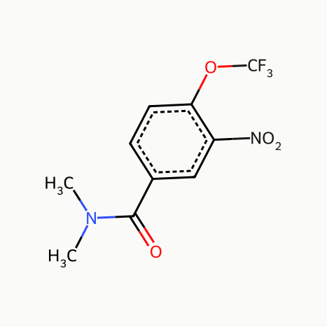 CN(C)C(=O)c1ccc(OC(F)(F)F)c([N+](=O)[O-])c1